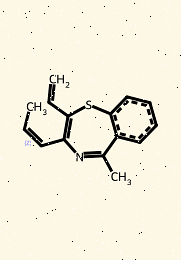 C=CC1=C(/C=C\C)N=C(C)c2ccccc2S1